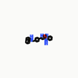 Nc1ccccc1NC(=O)C=Cc1ccc(CNC23CC4CC(CC(C4)C2)C3)cc1